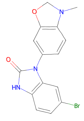 CN1COc2cc(-n3c(=O)[nH]c4ccc(Br)cc43)ccc21